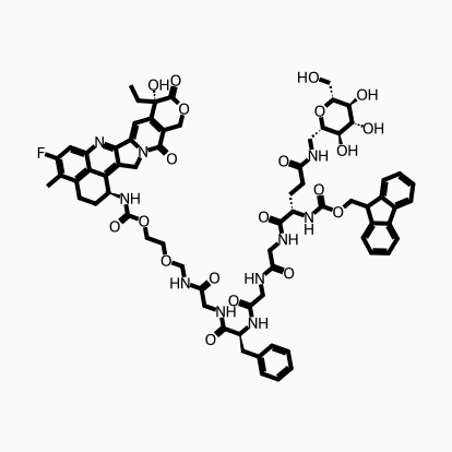 CC[C@@]1(O)C(=O)OCc2c1cc1n(c2=O)Cc2c-1nc1cc(F)c(C)c3c1c2[C@@H](NC(=O)OCCOCNC(=O)CNC(=O)[C@H](Cc1ccccc1)NC(=O)CNC(=O)CNC(=O)[C@H](CCC(=O)NC[C@@H]1O[C@H](CO)[C@@H](O)[C@H](O)[C@H]1O)NC(=O)OCC1c2ccccc2-c2ccccc21)CC3